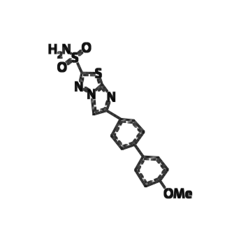 COc1ccc(-c2ccc(-c3cn4nc(S(N)(=O)=O)sc4n3)cc2)cc1